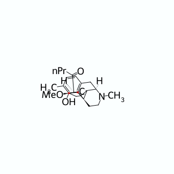 CCCC(=O)[C@H]1C[C@@]23CC[C@@]1(OC)C[C@@]21CCN(C)[C@@H]3Cc2ccc(C)c(O)c21